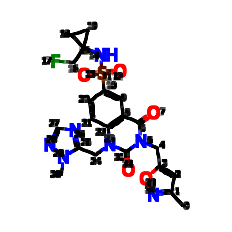 Cc1cc(Cn2c(=O)c3cc(S(=O)(=O)NC4(CF)CC4)ccc3n(Cc3ncnn3C)c2=O)on1